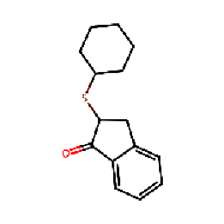 O=C1c2ccccc2CC1SC1CCCCC1